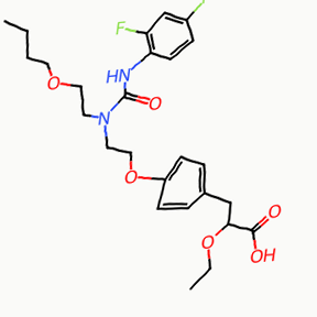 CCCCOCCN(CCOc1ccc(CC(OCC)C(=O)O)cc1)C(=O)Nc1ccc(F)cc1F